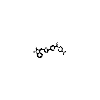 CN(C)C1CCN(C(=O)c2ccc(-c3ccc(/C=C4/C(=O)Nc5ccccc54)o3)cn2)CC1